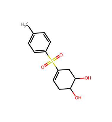 Cc1ccc(S(=O)(=O)C2=CCC(O)C(O)C2)cc1